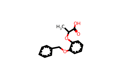 CC(Oc1ccccc1OCc1ccccc1)C(=O)O